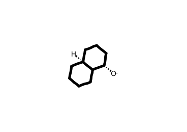 [O][C@H]1CCC[C@@H]2CCCCC21